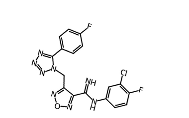 N=C(Nc1ccc(F)c(Cl)c1)c1nonc1Cn1nnnc1-c1ccc(F)cc1